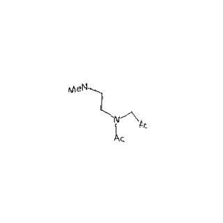 CNCCN(CC(C)=O)C(C)=O